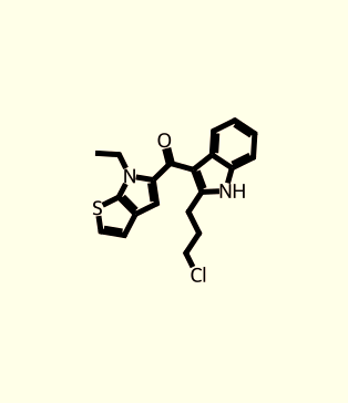 CCn1c(C(=O)c2c(CCCCl)[nH]c3ccccc23)cc2ccsc21